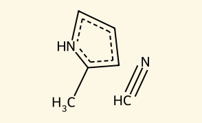 C#N.Cc1ccc[nH]1